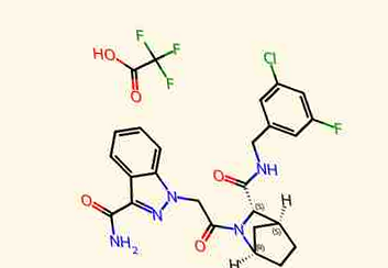 NC(=O)c1nn(CC(=O)N2[C@@H]3CC[C@@H](C3)[C@H]2C(=O)NCc2cc(F)cc(Cl)c2)c2ccccc12.O=C(O)C(F)(F)F